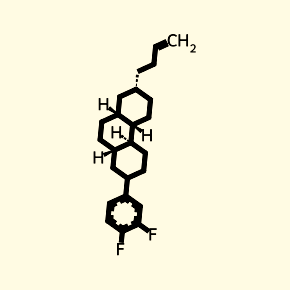 C=CCC[C@@H]1CC[C@H]2[C@H](CC[C@H]3CC(c4ccc(F)c(F)c4)CC[C@@H]32)C1